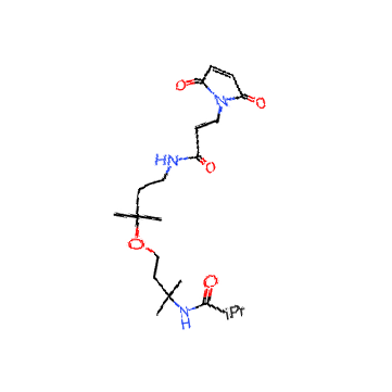 CC(C)C(=O)NC(C)(C)CCOC(C)(C)CCNC(=O)CCN1C(=O)C=CC1=O